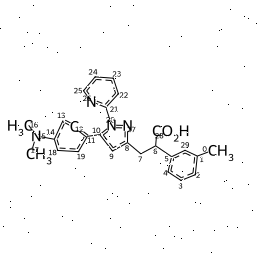 Cc1cccc(C(Cc2cc(-c3ccc(N(C)C)cc3)n(-c3ccccn3)n2)C(=O)O)c1